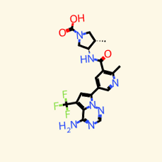 Cc1ncc(-c2cc(C(F)(F)F)c3c(N)ncnn23)cc1C(=O)N[C@@H]1CN(C(=O)O)C[C@@H]1C